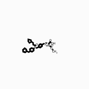 CCOC(=O)N[C@H](CSCc1ccc(CN(C(=O)CCC2CCCC2)c2ccc(Cc3ccccc3)cc2)cc1)C(=O)O